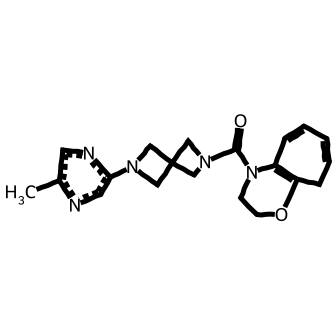 Cc1cnc(N2CC3(CN(C(=O)N4CCOC5=C4C=CC=CC5)C3)C2)cn1